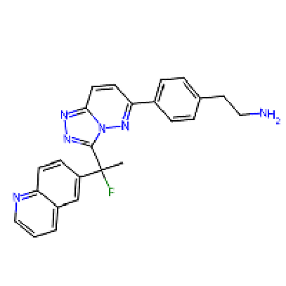 CC(F)(c1ccc2ncccc2c1)c1nnc2ccc(-c3ccc(CCN)cc3)nn12